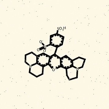 O=S(=O)([O-])c1cc(S(=O)(=O)O)ccc1-c1c2cc3c4c(c2[o+]c2c5c6c(cc12)CCCN6CCC5)CCCN4CCC3